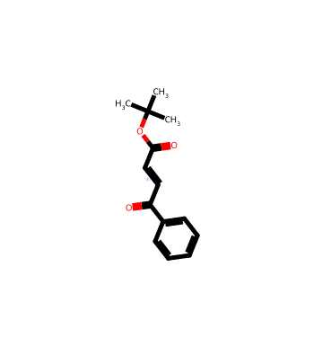 CC(C)(C)OC(=O)/C=C/C(=O)c1ccccc1